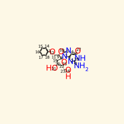 Nc1nc2c(ncn2[C@@]2(C(=O)COc3ccccc3)C[C@H](O)[C@@H](CO)O2)c(=O)[nH]1